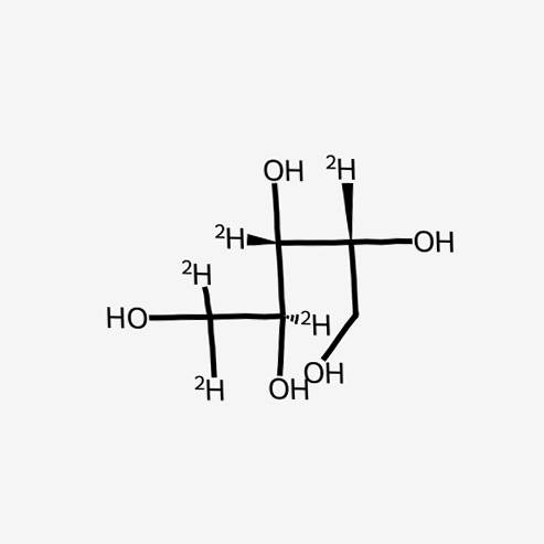 [2H]C([2H])(O)[C@]([2H])(O)[C@]([2H])(O)[C@]([2H])(O)CO